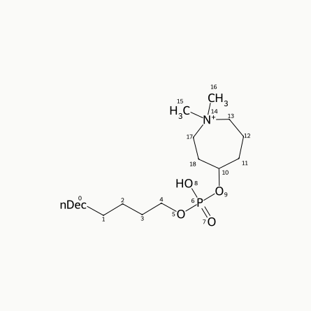 CCCCCCCCCCCCCCOP(=O)(O)OC1CCC[N+](C)(C)CC1